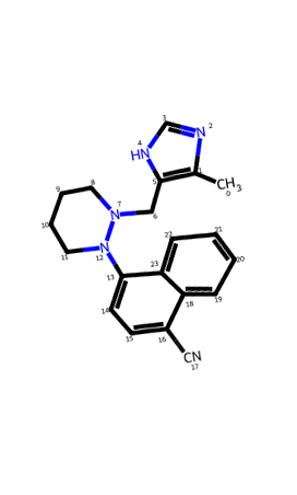 Cc1nc[nH]c1CN1CCCCN1c1ccc(C#N)c2ccccc12